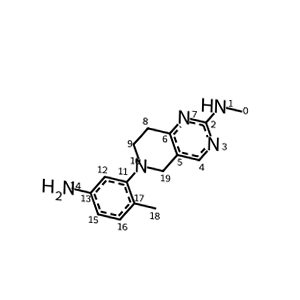 CNc1ncc2c(n1)CCN(c1cc(N)ccc1C)C2